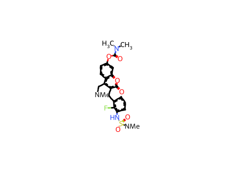 CNCc1c(Cc2cccc(NS(=O)(=O)NC)c2F)c(=O)oc2cc(OC(=O)N(C)C)ccc12